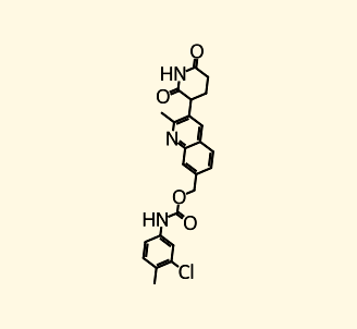 Cc1ccc(NC(=O)OCc2ccc3cc(C4CCC(=O)NC4=O)c(C)nc3c2)cc1Cl